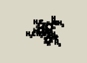 CCc1ccc(C2(N(C)C)CCC(NC)CC2)c(CC)c1.CCc1ccccc1